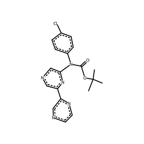 CC(C)(C)OC(=O)N(c1ccc(Cl)cc1)c1cncc(-c2cnccn2)n1